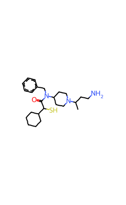 CC(CCN)N1CCC(N(Cc2ccccc2)C(=O)C(S)C2CCCCC2)CC1